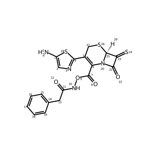 Nc1cnc(C2=C(C(=O)ONC(=O)Cc3ccccc3)N3C(=O)C(=S)[C@@H]3SC2)s1